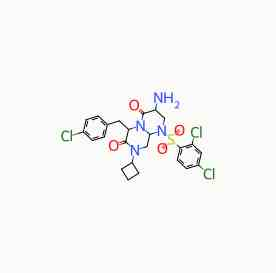 NC1CN(S(=O)(=O)c2ccc(Cl)cc2Cl)C2CN(C3CCC3)C(=O)C(Cc3ccc(Cl)cc3)N2C1=O